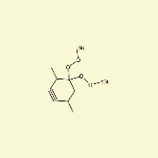 CC1C#CC(C)C(OOC(C)(C)C)(OOC(C)(C)C)C1